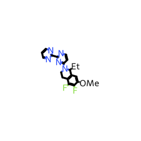 CCC1c2cc(OC)c(F)c(F)c2CCN1c1ccnc(-c2ncccn2)n1